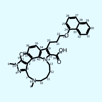 Cc1c2c(nn1C)CN(C)CCCCn1c(C(=O)O)c(CCCOc3cccc4ccccc34)c3ccc(Cl)c-2c31